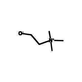 C[N+](C)(C)CC[O-]